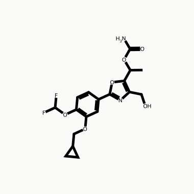 CC(OC(N)=O)c1oc(-c2ccc(OC(F)F)c(OCC3CC3)c2)nc1CO